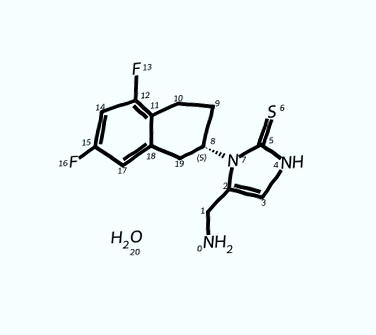 NCc1c[nH]c(=S)n1[C@H]1CCc2c(F)cc(F)cc2C1.O